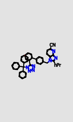 CCCc1nc2nc(C#N)ccc2n1Cc1ccc(-c2ccccc2-c2nnnn2C(c2ccccc2)(c2ccccc2)c2ccccc2)cc1